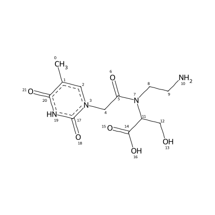 Cc1cn(CC(=O)N(CCN)C(CO)C(=O)O)c(=O)[nH]c1=O